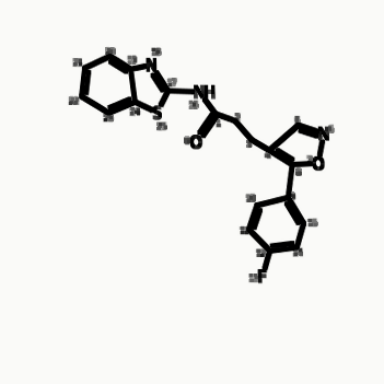 O=C(CCc1cnoc1-c1ccc(F)cc1)Nc1nc2ccccc2s1